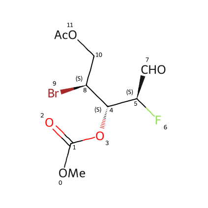 COC(=O)O[C@@H]([C@H](F)C=O)[C@@H](Br)COC(C)=O